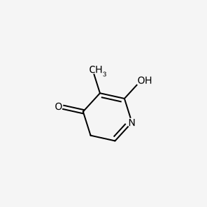 CC1=C(O)N=CCC1=O